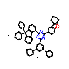 c1ccc(-c2cc(-c3ccccc3)cc(-c3nc(-c4ccc5oc6ccccc6c5c4)nc(-c4cccc5c4-c4ccccc4C5(c4ccccc4)c4ccccc4)n3)c2)cc1